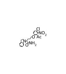 CC(=O)c1c(OCCCC(C(N)=O)N2CCc3ccccc32)ccc(Cl)c1[N+](=O)[O-]